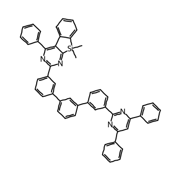 C[Si]1(C)c2ccccc2-c2c(-c3ccccc3)nc(-c3cccc(-c4cccc(-c5cccc(-c6nc(-c7ccccc7)cc(-c7ccccc7)n6)c5)c4)c3)nc21